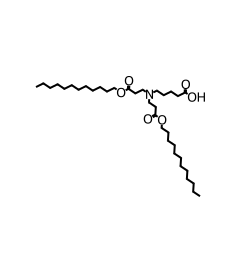 CCCCCCCCCCCCOC(=O)CCN(CCCCC(=O)O)CCC(=O)OCCCCCCCCCCCC